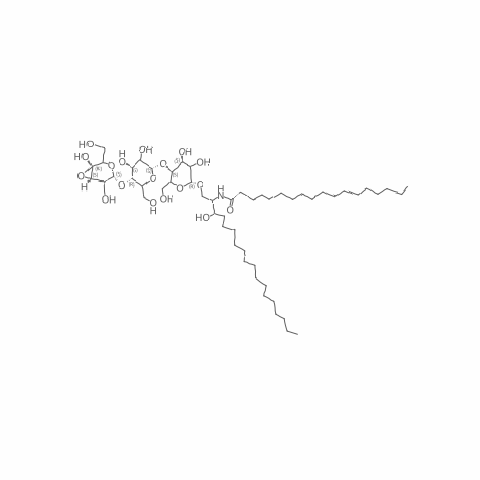 CCCCCCCCCCCCCCCCCC(=O)NC(CO[C@@H]1OC(CO)[C@@H](O[C@@H]2OC(CO)[C@H](O[C@H]3OC(CO)[C@@]4(O)O[C@H]4C3O)[C@@H](O)C2O)[C@@H](O)C1O)C(O)CCCCCCCCCCCCCCC